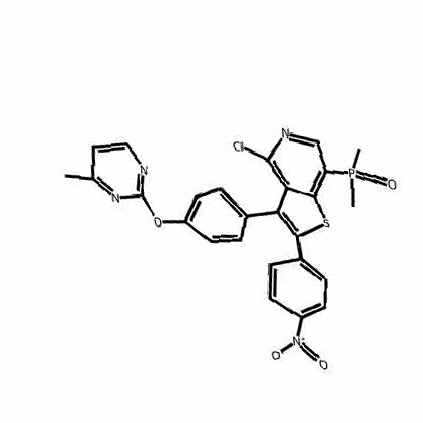 Cc1ccnc(Oc2ccc(-c3c(-c4ccc([N+](=O)[O-])cc4)sc4c(P(C)(C)=O)cnc(Cl)c34)cc2)n1